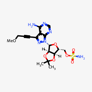 COCC#Cc1nn([C@@H]2O[C@H](COS(N)(=O)=O)[C@H]3OC(C)(C)O[C@H]32)c2ncnc(N)c12